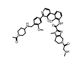 CNCC(=O)N1CCc2c(nc(C(=O)Nc3cccc(-c4ccnc(-c5ccc(CNC6CCN(C(C)=O)CC6)c(OC)c5)c4Cl)c3Cl)n2C)C1